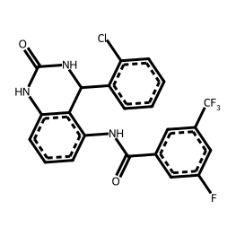 O=C1Nc2cccc(NC(=O)c3cc(F)cc(C(F)(F)F)c3)c2C(c2ccccc2Cl)N1